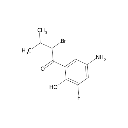 CC(C)C(Br)C(=O)c1cc(N)cc(F)c1O